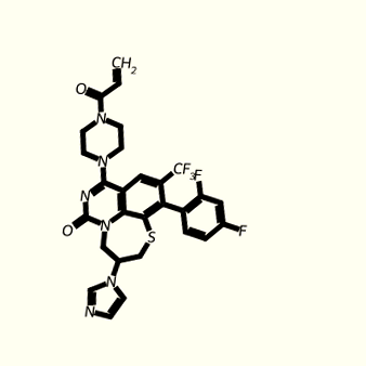 C=CC(=O)N1CCN(c2nc(=O)n3c4c(c(-c5ccc(F)cc5F)c(C(F)(F)F)cc24)SCC(n2ccnc2)C3)CC1